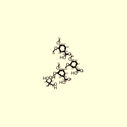 CC(CO)(CO)CO.COc1ccc(C(=O)O)cc1OC.COc1ccc(C(=O)O)cc1OC.COc1ccc(C(=O)O)cc1OC